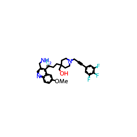 COc1ccc2ncc(CN)c([C@H](F)CCC3(CO)CCN(CC#Cc4cc(F)c(F)c(F)c4)CC3)c2c1